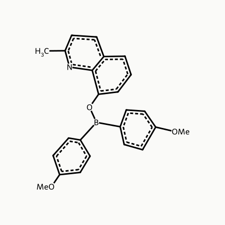 COc1ccc(B(Oc2cccc3ccc(C)nc23)c2ccc(OC)cc2)cc1